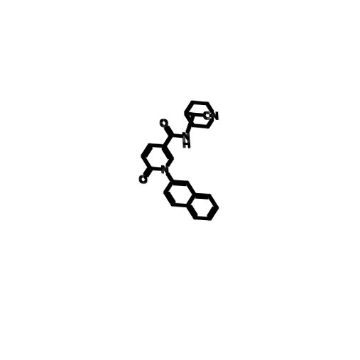 O=C(NC1CN2CCC1CC2)c1ccc(=O)n(-c2ccc3ccccc3c2)c1